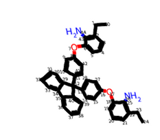 CCc1cccc(Oc2ccc(C3(c4ccc(Oc5cccc(CC)c5N)cc4)c4ccccc4-c4ccccc43)cc2)c1N